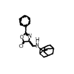 O=C1OC(c2ccccc2)=N/C1=C\NC1=CC2CC3CC(C2)CC1C3